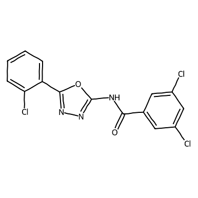 O=C(Nc1nnc(-c2ccccc2Cl)o1)c1cc(Cl)cc(Cl)c1